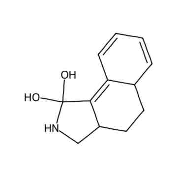 OC1(O)NCC2CCC3C=CC=CC3=C21